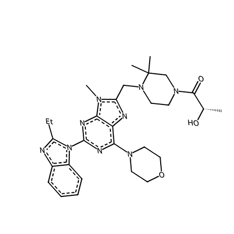 CCc1nc2ccccc2n1-c1nc(N2CCOCC2)c2nc(CN3CCN(C(=O)[C@H](C)O)CC3(C)C)n(C)c2n1